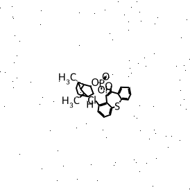 CC1C2C3[C@H](OP(=O)(O)OC4=Cc5c(Cl)cccc5Sc5ccccc54)C[C@H]1CC[C@]23C